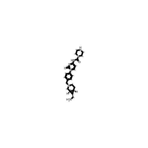 NC[C@@H]1[C@H]2CCN(Cc3ccc(-n4ccc(NC(=O)N5CCNCC5)nc4=O)cc3)C[C@@H]12